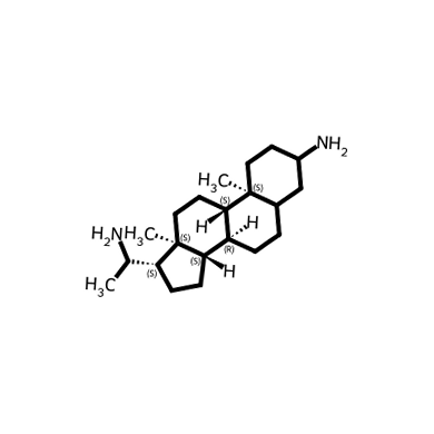 CC(N)[C@H]1CC[C@H]2[C@@H]3CCC4CC(N)CC[C@]4(C)[C@H]3CC[C@]12C